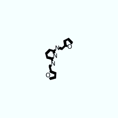 C(=Nc1cccc(N=Cc2ccco2)n1)c1ccco1